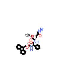 CC(C)(C)OC(=O)[C@H](CCC(=O)C=[N+]=[N-])NC(=O)[C@@H](NC(=O)OCC1c2ccccc2-c2ccccc21)c1ccccc1